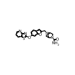 NC(=O)N1CC2CC1CN2Cc1cc2ccc(Oc3nc4ncccc4s3)cc2o1